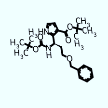 CC(C)(C)OC(=O)N[C@H](CCOCc1ccccc1)c1[nH]ccc1C(=O)OC(C)(C)C